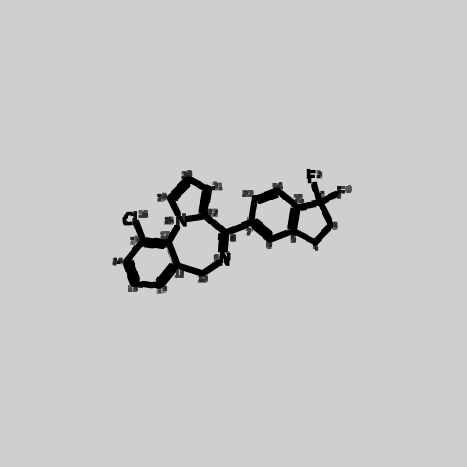 FC1(F)CCc2cc(C3=NCc4cccc(Cl)c4-n4cccc43)ccc21